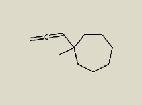 C=C=CC1(C)CCCCCC1